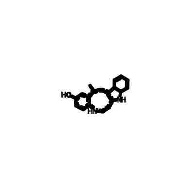 Cc1cc2c(cc[nH]c3ccc(O)cc13)NC1C=CC=CC21